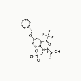 O=C(O)NN(CC(Cl)(Cl)Cl)c1ccc(OCc2ccccc2)cc1C(=O)C(F)(F)F